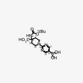 CC(C)(C)OC(=O)NC1(C(=O)O)CCN(c2ncc(B(O)O)cn2)CC1